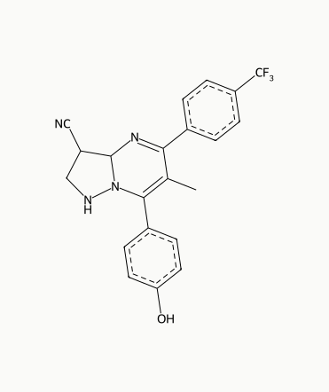 CC1=C(c2ccc(O)cc2)N2NCC(C#N)C2N=C1c1ccc(C(F)(F)F)cc1